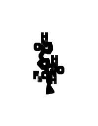 O=C1Nc2cc(Cc3ccc[nH]c3=O)ccc2C(C#CC2CC2)(C(F)(F)F)N1